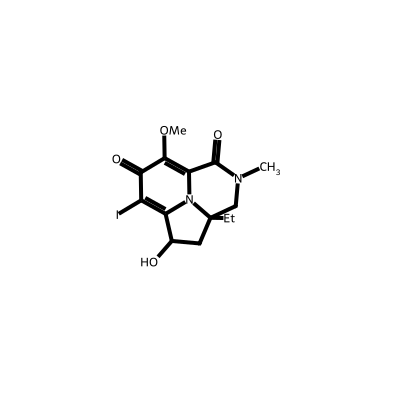 CCC12CC(O)c3c(I)c(=O)c(OC)c(n31)C(=O)N(C)C2